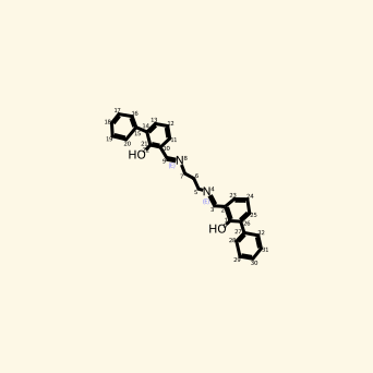 Oc1c(/C=N/CCC/N=C/c2cccc(-c3ccccc3)c2O)cccc1-c1ccccc1